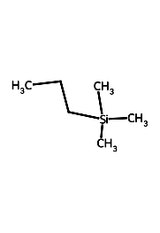 CCC[Si](C)(C)C